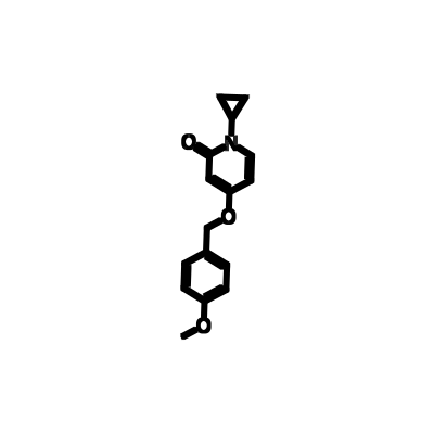 COc1ccc(COc2ccn(C3CC3)c(=O)c2)cc1